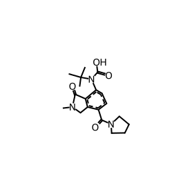 CN1Cc2c(C(=O)N3CCCC3)ccc(N(C(=O)O)C(C)(C)C)c2C1=O